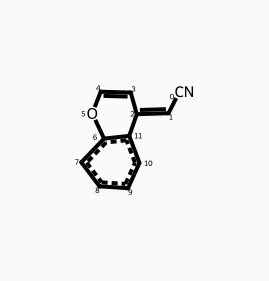 N#C/C=C1\C=COc2ccccc21